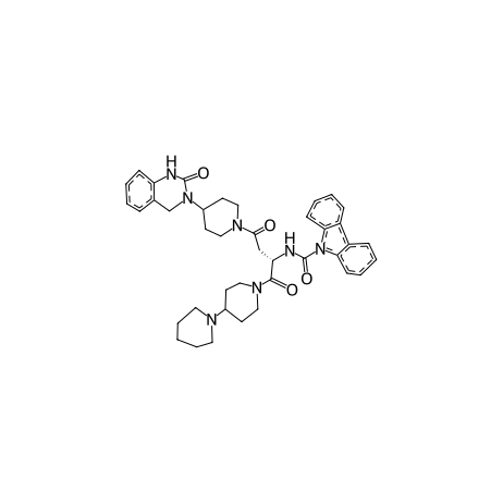 O=C(C[C@H](NC(=O)n1c2ccccc2c2ccccc21)C(=O)N1CCC(N2CCCCC2)CC1)N1CCC(N2Cc3ccccc3NC2=O)CC1